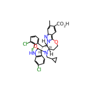 Cc1cc2nn3c(c2cc1C(=O)O)OCC[C@H]1[C@@H]3C(c2cccc(Cl)c2F)[C@]2(C(=O)Nc3cc(Cl)ccc32)N1CC1CC1